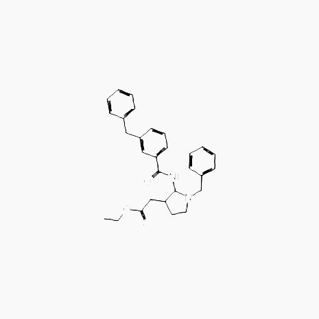 CCOC(=O)CC1CCN(Cc2ccccc2)C1NC(=O)c1cccc(Cc2ccccc2)c1